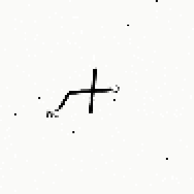 CC(C)([O])CC#N